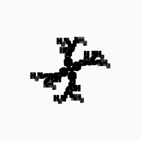 NCCN(CCN)CC(O)COc1ccc(C(c2ccc(OCC(O)CN(CCN)CCN)cc2)C(c2ccc(OCC(O)CN(CCN)CCN)cc2)c2ccc(OCC(O)CN(CCN)CCN)cc2)cc1